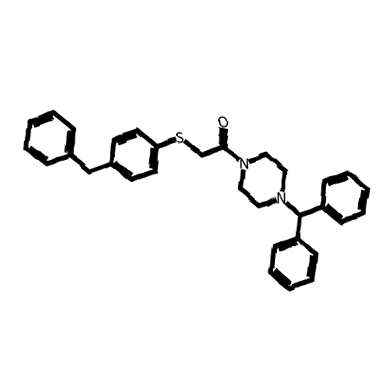 O=C(CSc1ccc(Cc2ccccc2)cc1)N1CCN(C(c2ccccc2)c2ccccc2)CC1